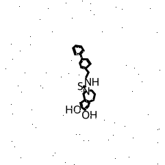 Oc1cc2c(cc1O)CN(C(=S)NCCc1ccc(-c3ccccc3)cc1)CCC2